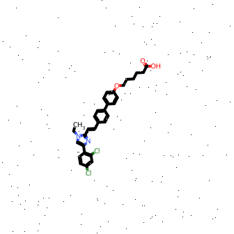 CCn1cc(-c2ccc(Cl)cc2Cl)nc1C=Cc1ccc(-c2ccc(OCCCCCC(=O)O)cc2)cc1